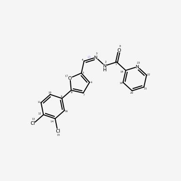 O=C(N/N=C\c1ccc(-c2ccc(Cl)c(Cl)c2)o1)c1ccccn1